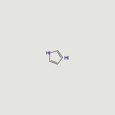 C1=C[IH]C=C1.I